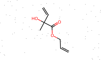 C=CCOC(=O)C(C)(O)C=C